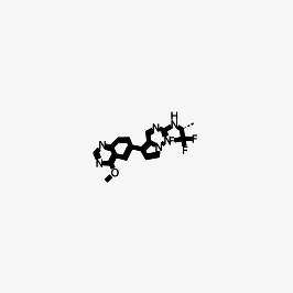 COc1ncnc2ccc(-c3ccn4nc(N[C@H](C)C(F)(F)F)ncc34)cc12